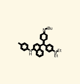 CCC(C)N=C1C=CC(=C(c2ccc(N(CC)CC)cc2)c2ccc(Nc3ccc(C)cc3)c3ccccc23)C=C1